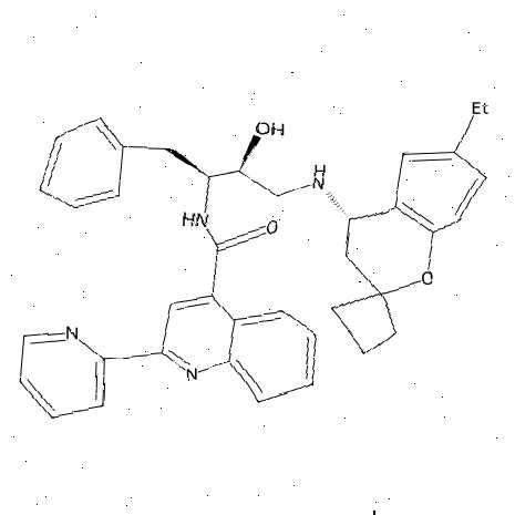 CCc1ccc2c(c1)[C@@H](NC[C@H](O)[C@H](Cc1ccccc1)NC(=O)c1cc(-c3ccccn3)nc3ccccc13)CC1(CCC1)O2